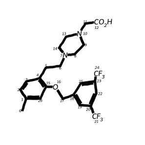 Cc1ccc(CCN2CCN(CC(=O)O)CC2)c(OCc2cc(C(F)(F)F)cc(C(F)(F)F)c2)c1